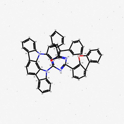 c1ccc(-c2ccc(-n3c4ccccc4c4ccc5c6ccccc6n(-c6nc(-c7ccccc7)nc(-c7cccc8c7oc7ccccc78)n6)c5c43)cc2)cc1